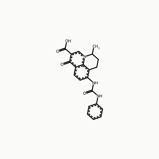 CC1CCc2c(NC(=O)Nc3ccccc3)ccc3c(=O)c(C(=O)O)cn1c23